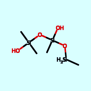 C[SiH2]O[Si](C)(O)O[Si](C)(C)O